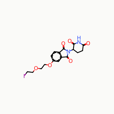 O=C1CCC(N2C(=O)c3ccc(OCCOCCI)cc3C2=O)C(=O)N1